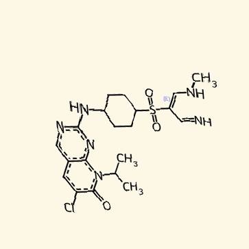 CN/C=C(\C=N)S(=O)(=O)C1CCC(Nc2ncc3cc(Cl)c(=O)n(C(C)C)c3n2)CC1